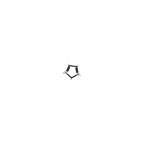 [C]1N=[C]C=N1